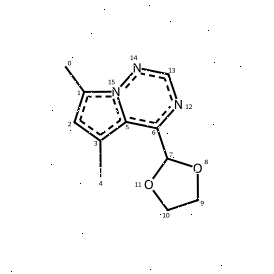 Cc1cc(I)c2c(C3OCCO3)ncnn12